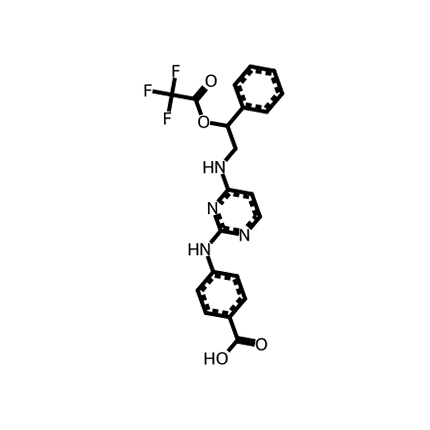 O=C(O)c1ccc(Nc2nccc(NCC(OC(=O)C(F)(F)F)c3ccccc3)n2)cc1